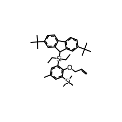 C=CCOc1c([Si](C)(C)C)cc(C)cc1[Si](CC)(CC)C1c2cc(C(C)(C)C)ccc2-c2ccc(C(C)(C)C)cc21